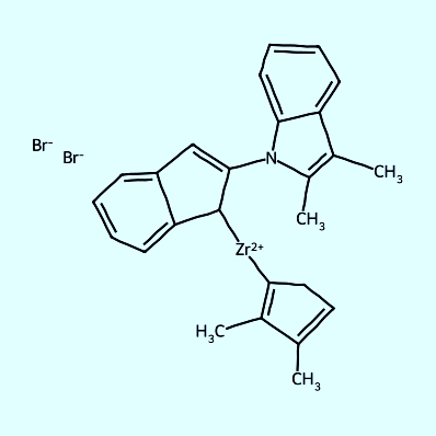 CC1=CC[C]([Zr+2][CH]2C(n3c(C)c(C)c4ccccc43)=Cc3ccccc32)=C1C.[Br-].[Br-]